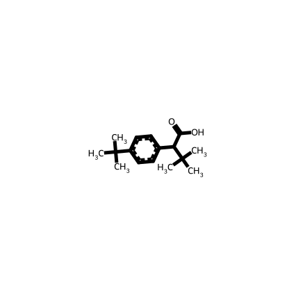 CC(C)(C)c1ccc(C(C(=O)O)C(C)(C)C)cc1